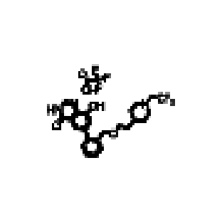 O=C(O)C(F)(F)F.O=c1[nH]cnc2c(O)cc(-c3ccccc3COCCC3CCN(CC(F)(F)F)CC3)cc12